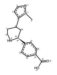 Cn1nccc1C1CCN[C@H](c2ccc(C(=O)O)cc2)C1